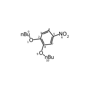 CCCCOc1ccc([N+](=O)[O-])cc1OCCCC